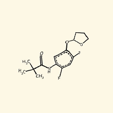 CC(C)(C)C(=O)Nc1cc(OC2CCCO2)c(F)cc1F